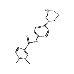 Cc1ccc(C(=O)Nc2ccc([C@@H]3CCCNC3)cc2)cc1C